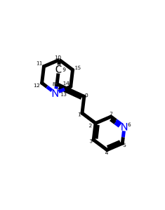 C(Cc1cccnc1)=C1CC2CCN1CC2